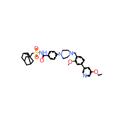 CCOc1cncc(-c2ccc(CN3CCN(c4ccc(C(=O)NS(=O)(=O)CC56CC7CC(CC(C7)C5)C6)cc4)CC3)c(OC)c2)c1